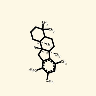 COc1cc(C)c2c(c1OC)C[C@H]1[C@@]2(C)CCC2C(C)(C)CCC[C@@]21C